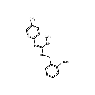 COc1ccccc1CNC(=Nc1ccc(C)cn1)NOC(C)=O